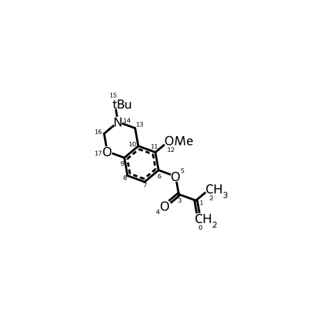 C=C(C)C(=O)Oc1ccc2c(c1OC)CN(C(C)(C)C)CO2